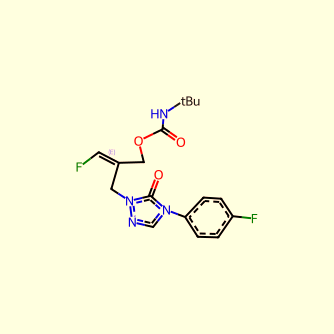 CC(C)(C)NC(=O)OC/C(=C/F)Cn1ncn(-c2ccc(F)cc2)c1=O